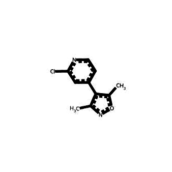 Cc1noc(C)c1-c1ccnc(Cl)c1